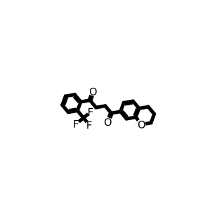 O=C(CCC(=O)c1ccccc1C(F)(F)F)c1ccc2c(c1)OCCC2